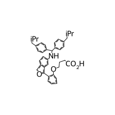 CC(C)Cc1ccc(C(Nc2ccc3coc(-c4ccccc4OCCCC(=O)O)c3c2)c2ccc(CC(C)C)cc2)cc1